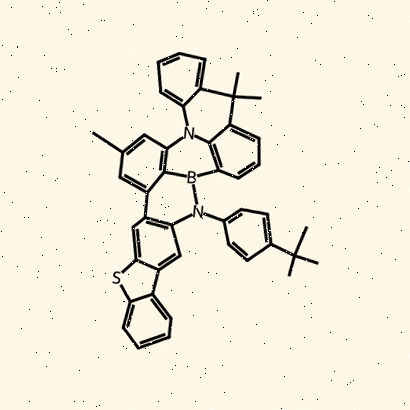 Cc1cc2c3c(c1)N1c4ccccc4C(C)(C)c4cccc(c41)B3N(c1ccc(C(C)(C)C)cc1)c1cc3c(cc1-2)sc1ccccc13